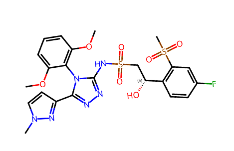 COc1cccc(OC)c1-n1c(NS(=O)(=O)C[C@@H](O)c2ccc(F)cc2S(C)(=O)=O)nnc1-c1ccn(C)n1